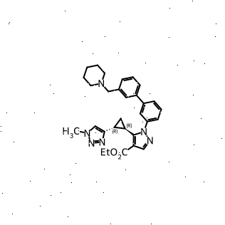 CCOC(=O)c1cnn(-c2cccc(-c3cccc(CN4CCCCC4)c3)c2)c1[C@@H]1C[C@H]1c1cn(C)nn1